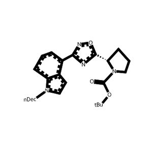 CCCCCCCCCCn1ccc2c(-c3noc([C@@H]4CCCN4C(=O)OC(C)(C)C)n3)cccc21